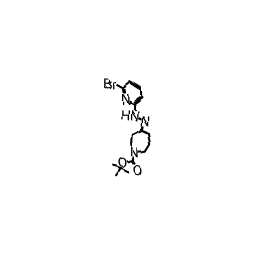 CC(C)(C)OC(=O)N1CCC/C(=N/Nc2cccc(Br)n2)CC1